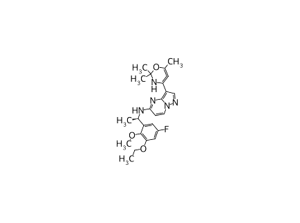 CCOc1cc(F)cc([C@@H](C)Nc2ccn3ncc(C4=C=C(C)OC(C)(C)N4)c3n2)c1OC